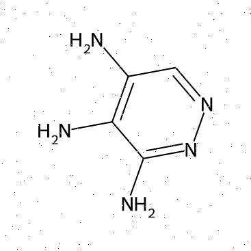 Nc1cnnc(N)c1N